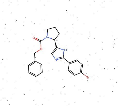 O=C(OCc1ccccc1)N1CCC[C@H]1c1cnc(-c2ccc(Br)cc2)[nH]1